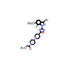 COc1ccc2c(C(C)C)nn(-c3noc(C4CCN(C5CCN(C(=O)COC(C)=O)CC5)CC4)n3)c2c1F